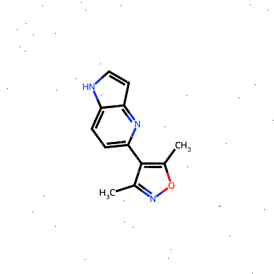 Cc1noc(C)c1-c1ccc2[nH]ccc2n1